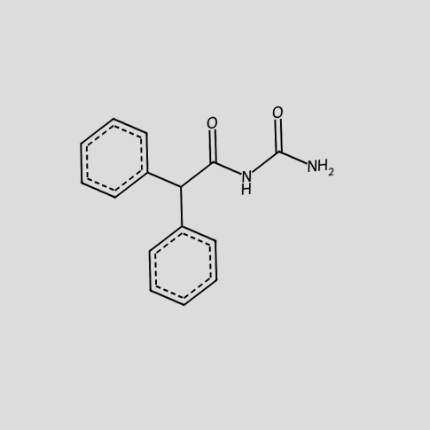 NC(=O)NC(=O)C(c1ccccc1)c1ccccc1